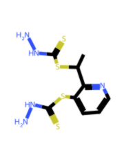 CC(SC(=S)NN)c1ncccc1SC(=S)NN